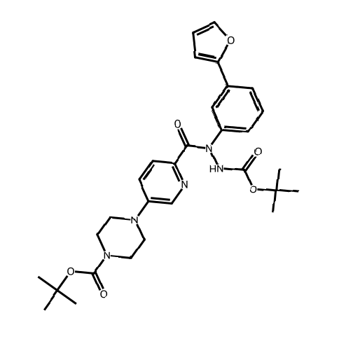 CC(C)(C)OC(=O)NN(C(=O)c1ccc(N2CCN(C(=O)OC(C)(C)C)CC2)cn1)c1cccc(-c2ccco2)c1